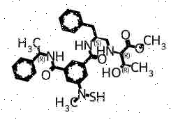 COC(=O)[C@H](NC[C@H](Cc1ccccc1)NC(=O)c1cc(C(=O)N[C@H](C)c2ccccc2)cc(N(C)S)c1)[C@@H](C)O